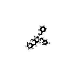 O=c1nc(SCc2ccccc2)n(Cc2cccs2)cc1Cc1cncnc1